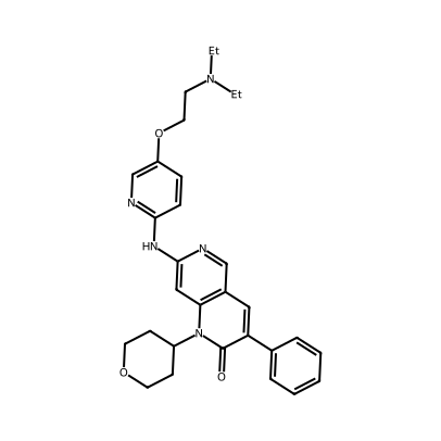 CCN(CC)CCOc1ccc(Nc2cc3c(cn2)cc(-c2ccccc2)c(=O)n3C2CCOCC2)nc1